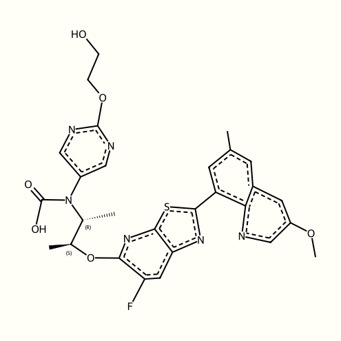 COc1cnc2c(-c3nc4cc(F)c(O[C@@H](C)[C@@H](C)N(C(=O)O)c5cnc(OCCO)nc5)nc4s3)cc(C)cc2c1